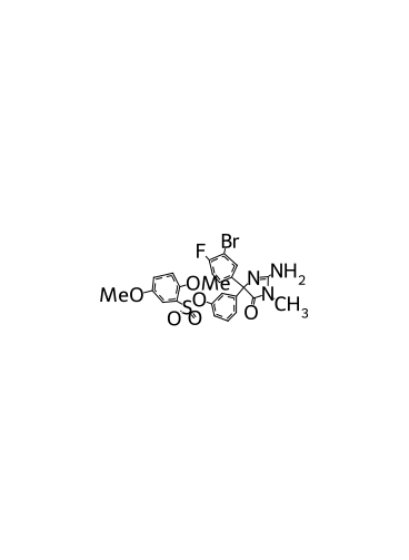 COc1ccc(OC)c(S(=O)(=O)Oc2cccc(C3(c4ccc(F)c(Br)c4)N=C(N)N(C)C3=O)c2)c1